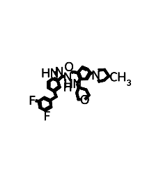 CC1CCN(c2ccc(C(=O)Nc3n[nH]c4ccc(Cc5cc(F)cc(F)c5)cc34)c(NC3CCOCC3)c2)CC1